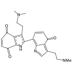 CNCCC1=C2C(=O)C=CC(c3[nH]c4c(c3CCN(C)C)C(=O)C=CC4=O)=C2N=C1